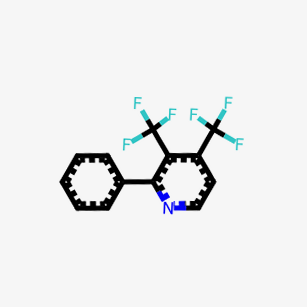 FC(F)(F)c1ccnc(-c2ccccc2)c1C(F)(F)F